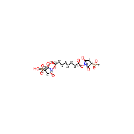 CS(=O)(=O)C1CC(=O)N(OC(=O)CCCCCCC(=O)ON2C(=O)CC(S(=O)(=O)O)C2=O)C1=O